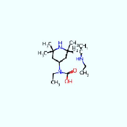 CCN(C(=O)O)C1CC(C)(C)NC(C)(C)C1.CCNCC